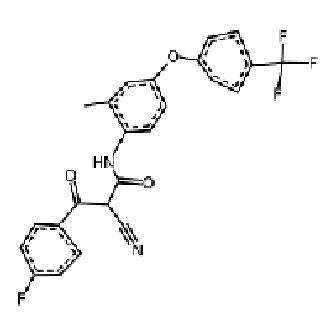 Cc1cc(Oc2ccc(C(F)(F)F)cc2)ccc1NC(=O)C(C#N)C(=O)c1ccc(F)cc1